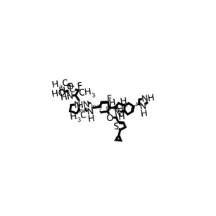 COC(O)NC(CN1CCC[C@H]1C1(C)NC[C@H]([C@@H]2C=C(F)[C@H]3C(C2)OC(C2=CCC(C4CC4)S2)N2[C@H]4CC=C([C@@H]5CNCN5)C[C@H]4C[C@@H]32)N1)C(C)(C)F